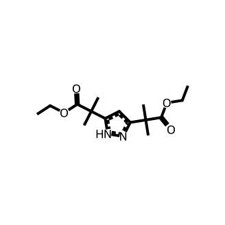 CCOC(=O)C(C)(C)c1cc(C(C)(C)C(=O)OCC)[nH]n1